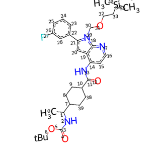 CC(NC(=O)OC(C)(C)C)C1CCC(C(=O)Nc2ccnc3c2cc(-c2cccc(F)c2)n3COCC[Si](C)(C)C)CC1